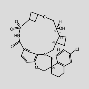 O=C1NS(=O)(=O)C2CC(CC[C@H](O)[C@@H]3CC[C@H]3CN3C[C@@]4(CCCc5cc(Cl)ccc54)COc4ccc1cc43)C2